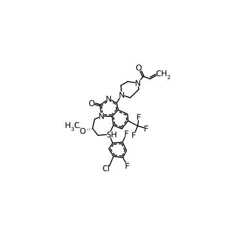 C=CC(=O)N1CCN(c2nc(=O)n3c4c(cc(C(F)(F)F)cc24)[SH](c2cc(Cl)c(F)cc2F)C[C@H](OC)C3)CC1